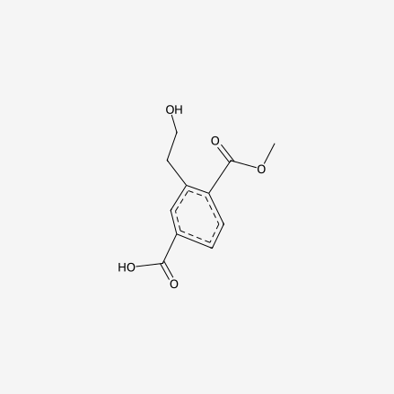 COC(=O)c1ccc(C(=O)O)cc1CCO